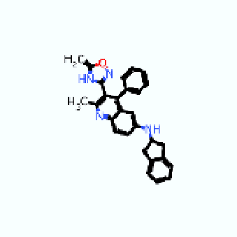 C=C1NC(c2c(C)nc3ccc(NC4Cc5ccccc5C4)cc3c2-c2ccccc2)=NO1